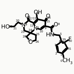 Cc1ccc(CNC(=O)c2cn3c(c(O)c2=O)C(=O)N(CCO)CC32CCOC2)c(F)c1